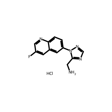 Cl.NCc1ncnn1-c1ccc2ncc(F)cc2c1